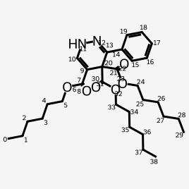 CCCCCCOC(=O)C1=CNN=C(c2ccccc2)C1(C(=O)OCCCCCC)C(=O)OCCCCCC